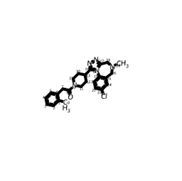 Cc1ccccc1CC(=O)N1CCC(c2nnc3n2-c2ccc(Cl)cc2CN(C)C3)CC1